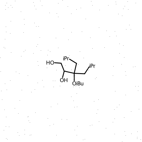 CC(C)COC(CC(C)C)(CC(C)C)C(O)CO